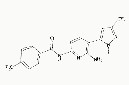 Cn1nc(C(F)(F)F)cc1-c1ccc(NC(=O)c2ccc(C(F)(F)F)cc2)nc1N